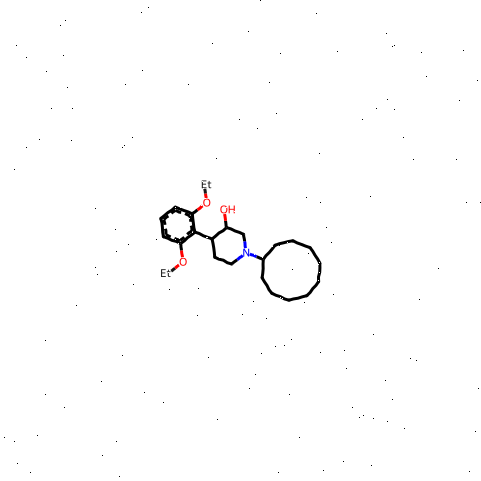 CCOc1cccc(OCC)c1C1CCN(C2CCCCCCCCC2)CC1O